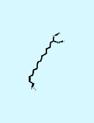 C=C/C=C\CCCCCCCCCCC(OCC)OCC